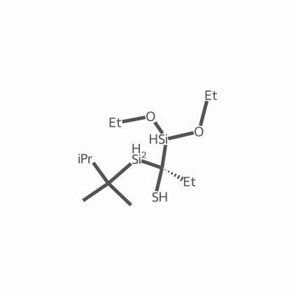 CCO[SiH](OCC)[C@](S)(CC)[SiH2]C(C)(C)C(C)C